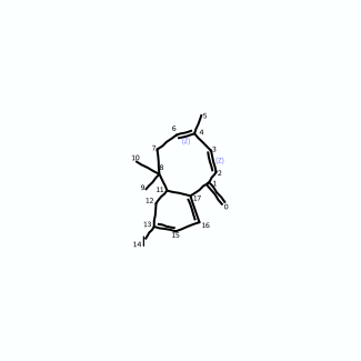 C=C1/C=C\C(C)=C/CC(C)(C)C2CC(I)=CC=C12